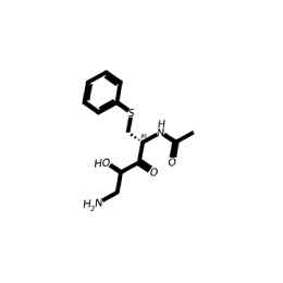 CC(=O)N[C@@H](CSc1ccccc1)C(=O)C(O)CN